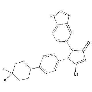 CCC1=CC(=O)N(c2ccc3[nH]cnc3c2)C1c1ccc(C2CCC(F)(F)CC2)cc1